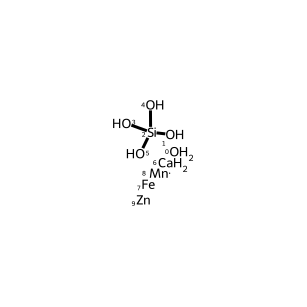 O.O[Si](O)(O)O.[CaH2].[Fe].[Mn].[Zn]